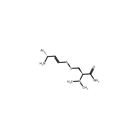 CC(=O)[C@@H](N)/C=C/SSC[C@@H](C(N)=O)N(C)C